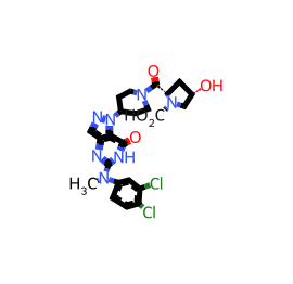 CN(c1ccc(Cl)c(Cl)c1)c1nc2cnn(C3CCN(C(=O)[C@@H]4C[C@H](O)CN4C(=O)O)CC3)c2c(=O)[nH]1